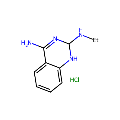 CCNC1N=C(N)c2ccccc2N1.Cl